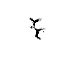 C/C=C(\O)NC(C)=O